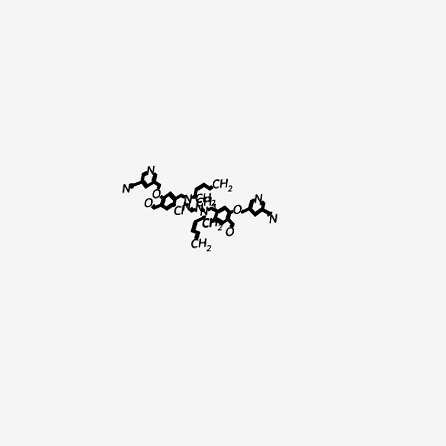 C=C/C=C\C(=C)N(Cc1cc(OCc2cncc(C#N)c2)c(C=O)cc1Cl)/N=C\N(C)N(Cc1cc(OCc2cncc(C#N)c2)c(C=O)cc1Cl)C(=C)/C=C\C=C